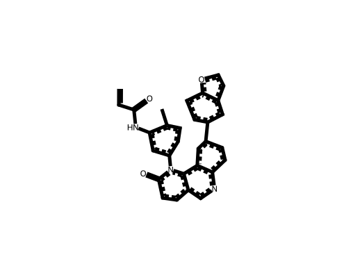 C=CC(=O)Nc1cc(-n2c(=O)ccc3cnc4ccc(-c5ccc6occc6c5)cc4c32)ccc1C